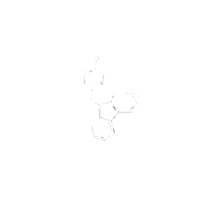 O=C(O)/C=C\c1c(C(=O)O)n(Cc2ccc(Cl)c(Cl)c2)c2ccccc12